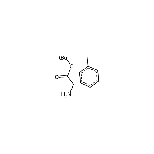 CC(C)(C)OC(=O)CN.Cc1ccccc1